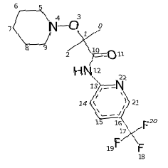 CC(C)(ON1CCCCC1)C(=O)Nc1ccc(C(F)(F)F)cn1